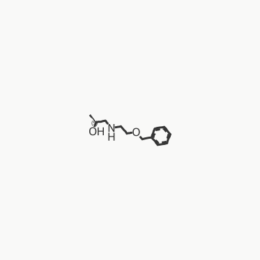 C[C@H](O)CNCCOCc1ccccc1